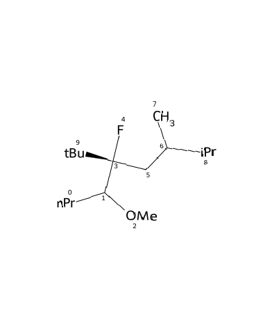 CCCC(OC)[C@](F)(CC(C)C(C)C)C(C)(C)C